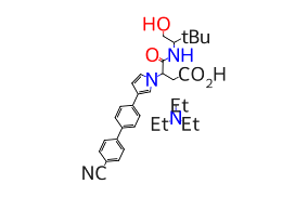 CC(C)(C)C(CO)NC(=O)C(CC(=O)O)n1ccc(-c2ccc(-c3ccc(C#N)cc3)cc2)c1.CCN(CC)CC